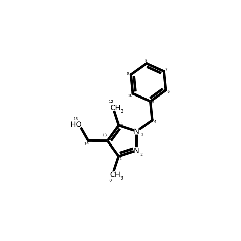 Cc1nn(Cc2ccccc2)c(C)c1CO